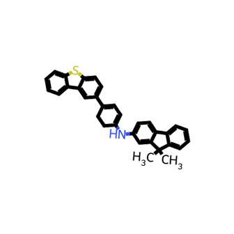 CC1(C)c2ccccc2-c2ccc(NC3=CC=C(c4ccc5sc6ccccc6c5c4)CC3)cc21